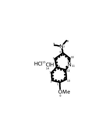 COc1ccc2cc(N(C)C)cnc2c1.Cl.Cl